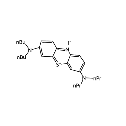 CCCCN(CCCC)c1ccc2nc3ccc(N(CCC)CCC)cc3[s+]c2c1.[I-]